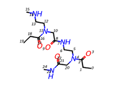 CCC(=O)N(CCNC(=O)CN(CCNC)C(=O)CC)CC(=O)NC